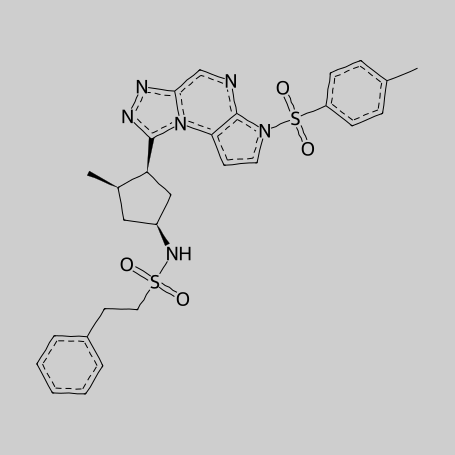 Cc1ccc(S(=O)(=O)n2ccc3c2ncc2nnc([C@H]4C[C@@H](NS(=O)(=O)CCc5ccccc5)C[C@H]4C)n23)cc1